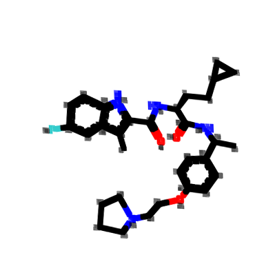 Cc1c(C(=O)N[C@@H](CCC2CC2)C(=O)NC(C)c2ccc(OCCN3CCCC3)cc2)[nH]c2ccc(F)cc12